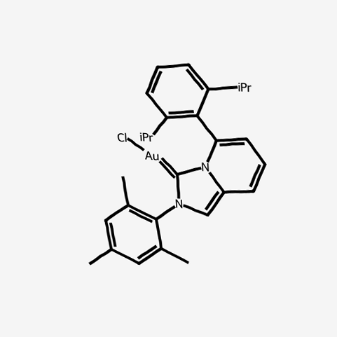 Cc1cc(C)c(-n2cc3cccc(-c4c(C(C)C)cccc4C(C)C)n3[c]2=[Au][Cl])c(C)c1